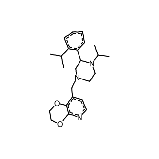 CC(C)c1ccccc1C1CN(Cc2ccnc3c2OCCO3)CCN1C(C)C